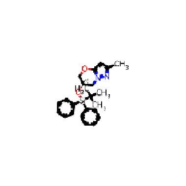 Cc1cc2n(n1)C[C@H](O[Si](c1ccccc1)(c1ccccc1)C(C)(C)C)CO2